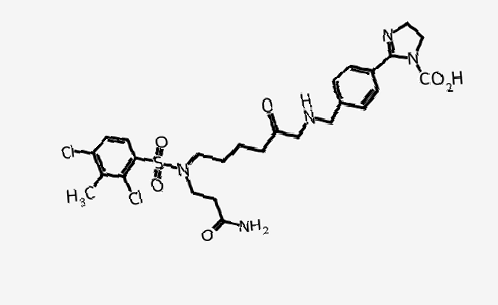 Cc1c(Cl)ccc(S(=O)(=O)N(CCCCC(=O)CNCc2ccc(C3=NCCN3C(=O)O)cc2)CCC(N)=O)c1Cl